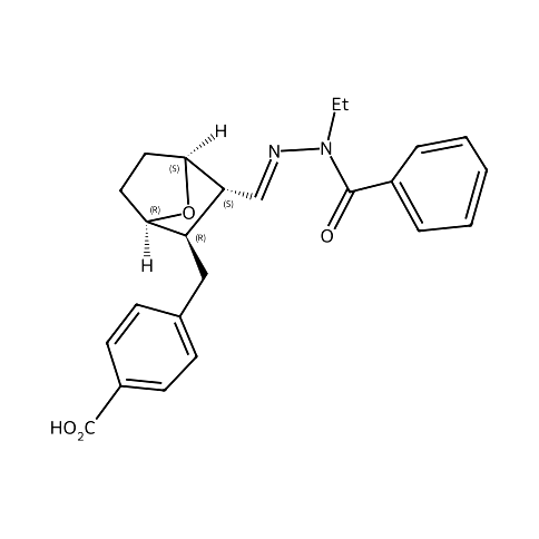 CCN(N=C[C@@H]1[C@@H](Cc2ccc(C(=O)O)cc2)[C@H]2CC[C@@H]1O2)C(=O)c1ccccc1